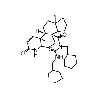 C[C@@]12CCC[C@H]1[C@]1(C(=O)N(CC3CCCCC3)C(=S)NCC3CCCCC3)CCC3NC(=O)C=C[C@]3(C)[C@@H]1CC2